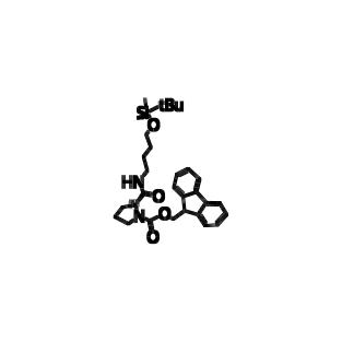 CC(C)(C)[Si](C)(C)OCCCCNC(=O)[C@@H]1CCCN1C(=O)OCC1c2ccccc2-c2ccccc21